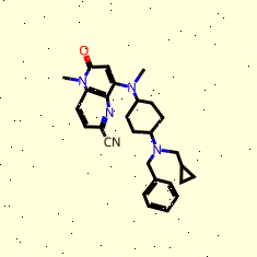 CN(c1cc(=O)n(C)c2ccc(C#N)nc12)C1CCC(N(Cc2ccccc2)CC2CC2)CC1